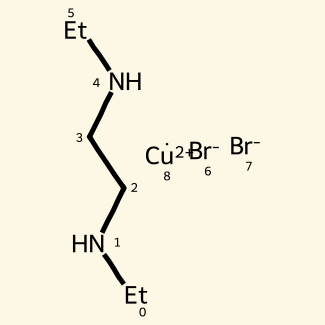 CCNCCNCC.[Br-].[Br-].[Cu+2]